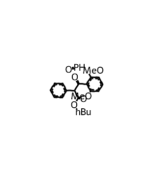 CCCCOC(=O)C(C(=O)c1c(OC)cccc1OC)c1ccccc1.O=P